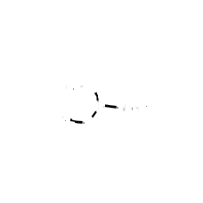 CCCCCB(CCCCC)OCCC